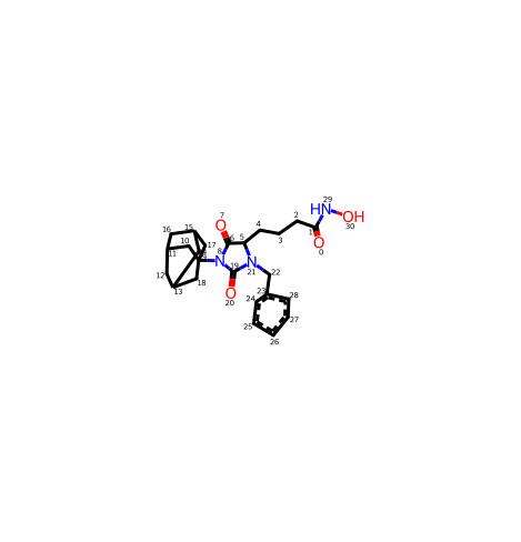 O=C(CCCC1C(=O)N(C23CC4CC(CC(C4)C2)C3)C(=O)N1Cc1ccccc1)NO